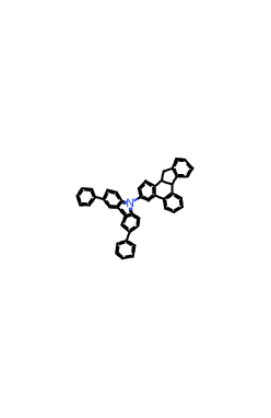 c1ccc(-c2ccc3c(c2)c2cc(-c4ccccc4)ccc2n3-c2ccc3c(c2)-c2ccccc2C2c4ccccc4CC32)cc1